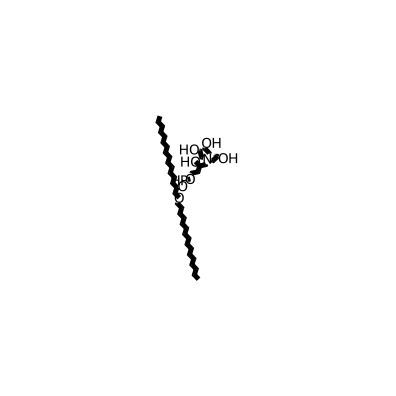 CCCCCCCCCCCCCCCCOCC(CCCCCCCCCCCCCC)OPOCCC(O)C[N+](CCO)(CCO)CCO